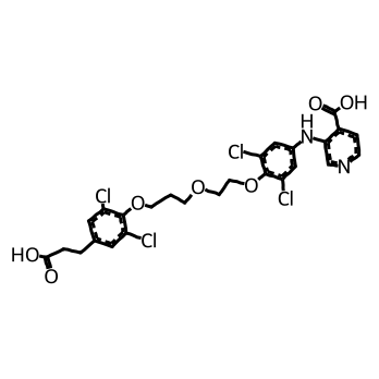 O=C(O)CCc1cc(Cl)c(OCCCOCCOc2c(Cl)cc(Nc3cnccc3C(=O)O)cc2Cl)c(Cl)c1